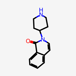 O=c1c2ccccc2ccn1C1CCNCC1